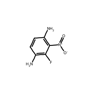 Nc1ccc(N)c([N+](=O)[O-])c1F